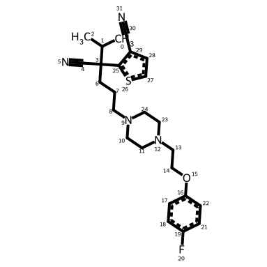 CC(C)C(C#N)(CCCN1CCN(CCOc2ccc(F)cc2)CC1)c1sccc1C#N